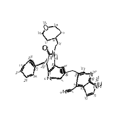 N#Cc1c(-c2cnc3c(c2)n(CC2CCOCC2)c(=O)n3-c2ccccc2)cnc2[nH]ccc12